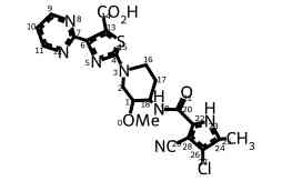 COC1CN(c2nc(-c3ncccn3)c(C(=O)O)s2)CCC1NC(=O)c1[nH]c(C)c(Cl)c1C#N